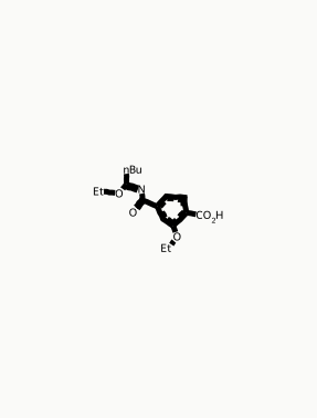 CCCC/C(=N/C(=O)c1ccc(C(=O)O)c(OCC)c1)OCC